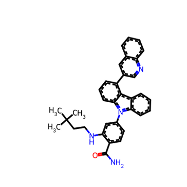 CC(C)(C)CCNc1cc(-n2c3ccccc3c3c(-c4cnc5ccccc5c4)cccc32)ccc1C(N)=O